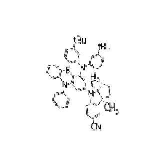 CC(C)(C)c1cccc(N2c3cc(C(C)(C)C)ccc3B3c4ccccc4N(c4ccccc4)c4cc(N5c6ccc(C#N)cc6C6(C)CCCC56C)cc2c43)c1